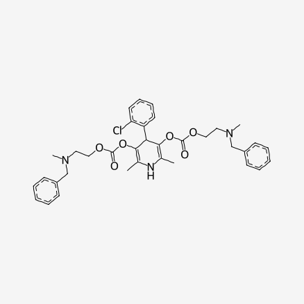 CC1=C(OC(=O)OCCN(C)Cc2ccccc2)C(c2ccccc2Cl)C(OC(=O)OCCN(C)Cc2ccccc2)=C(C)N1